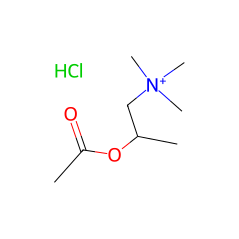 CC(=O)OC(C)C[N+](C)(C)C.Cl